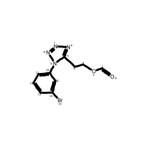 O=[C]OCCc1nnnn1-c1cccc(Br)c1